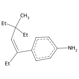 CC/C(=C/C(C)(CC)CC)c1ccc(N)cc1